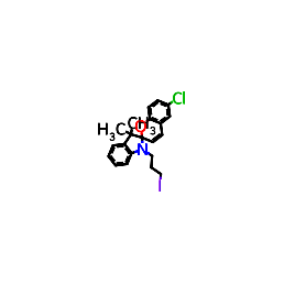 CC1(C)c2ccccc2N(CCCI)C12C=Cc1cc(Cl)ccc1O2